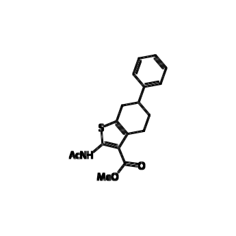 COC(=O)c1c(NC(C)=O)sc2c1CCC(c1ccccc1)C2